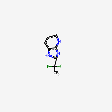 FC(F)(F)C(F)(F)c1nc2ncccc2[nH]1